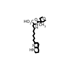 CC1(C(=O)NC(CCCCCCCc2ccc3c(n2)NCCC3)C(=O)O)CCOCC1